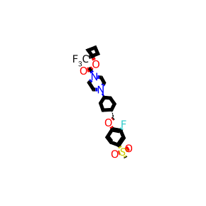 CS(=O)(=O)c1ccc(OC[C@H]2CC[C@H](N3CCN(C(=O)OC4(C(F)(F)F)CCC4)CC3)CC2)c(F)c1